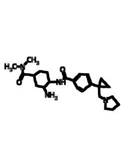 CN(C)C(=O)C1CCC(NC(=O)c2ccc(C3(CN4CCCC4)CC3)cc2)C(N)C1